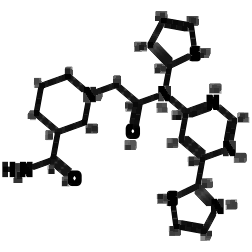 NC(=O)C1CCCN(CC(=O)N(c2cc(-c3nccs3)ncn2)c2cccs2)C1